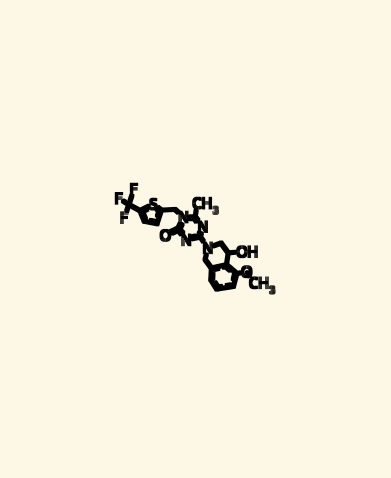 COc1cccc2c1C(O)CN(c1nc(C)n(Cc3ccc(C(F)(F)F)s3)c(=O)n1)C2